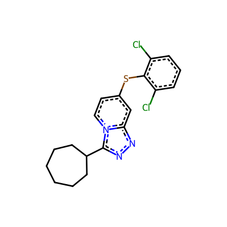 Clc1cccc(Cl)c1Sc1ccn2c(C3CCCCCC3)nnc2c1